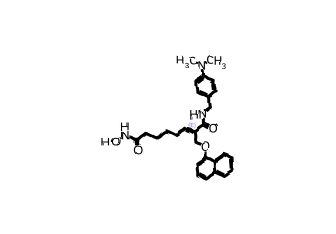 CN(C)c1ccc(CNC(=O)/C(=C/CCCCC(=O)NO)COc2cccc3ccccc23)cc1